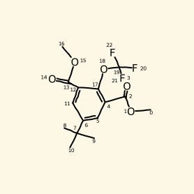 COC(=O)c1cc(C(C)(C)C)cc(C(=O)OC)c1OC(F)(F)F